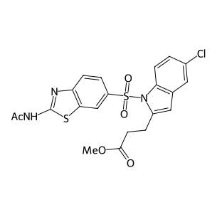 COC(=O)CCc1cc2cc(Cl)ccc2n1S(=O)(=O)c1ccc2nc(NC(C)=O)sc2c1